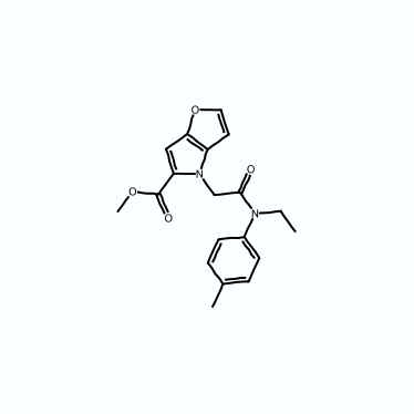 CCN(C(=O)Cn1c(C(=O)OC)cc2occc21)c1ccc(C)cc1